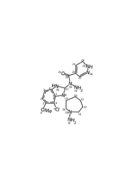 COc1ccc2c(c1Cl)N([C@@H]1CCCCN(N)C1)C(N(N)C(=O)C1=CCNN=C1)N2